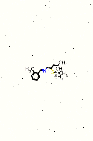 CCCC(CN=Cc1ccccc1C)S[Si](C)(C)C